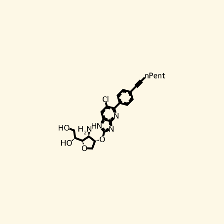 CCCCCC#Cc1ccc(-c2nc3nc(O[C@@H]4CO[C@H]([C@H](O)CO)[C@H]4N)[nH]c3cc2Cl)cc1